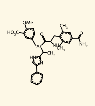 COc1ccc(C[As](C(=O)C(N)Cc2c(C)cc(C(N)=O)cc2C)C(C)c2nc(-c3ccccc3)c[nH]2)cc1C(=O)O